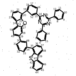 c1ccc(-c2nc(-c3ccccc3)nc(-c3cccc(-c4cccc5c4oc4cc(-c6cccc(-c7cccc8c7sc7ccccc78)c6)ccc45)c3)n2)cc1